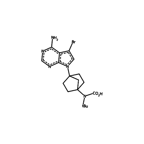 CC(C)(C)N(C(=O)O)C12CCC(n3cc(Br)c4c(N)ncnc43)(CC1)C2